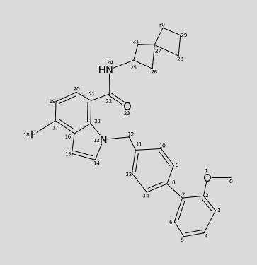 COc1ccccc1-c1ccc(Cn2ccc3c(F)ccc(C(=O)NC4CC5(CCC5)C4)c32)cc1